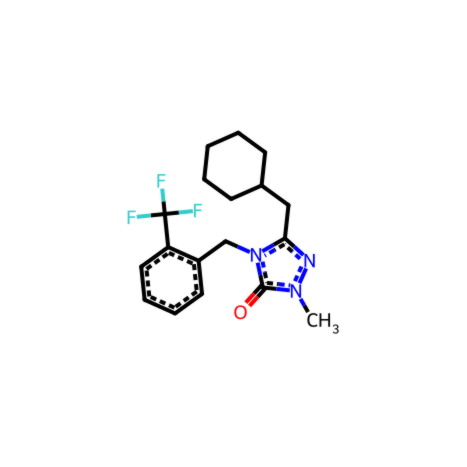 Cn1nc(CC2CCCCC2)n(Cc2ccccc2C(F)(F)F)c1=O